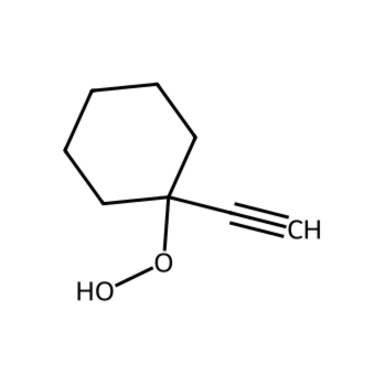 C#CC1(OO)CCCCC1